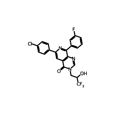 O=c1c2cc(-c3ccc(Cl)cc3)nc(-c3cccc(F)c3)c2ncn1CC(O)C(F)(F)F